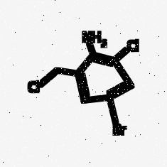 Nc1c(Cl)cc(Br)cc1CCl